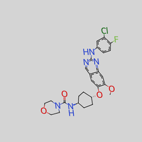 COc1cc2nc(Nc3ccc(F)c(Cl)c3)ncc2cc1O[C@H]1CC[C@H](NC(=O)N2CCOCC2)CC1